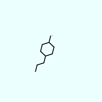 [CH2]C1CCC(CCC)CC1